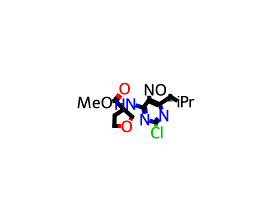 COC(=O)C1(Nc2nc(Cl)nc(CC(C)C)c2[N+](=O)[O-])CCOC1